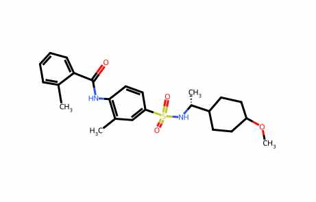 COC1CCC([C@@H](C)NS(=O)(=O)c2ccc(NC(=O)c3ccccc3C)c(C)c2)CC1